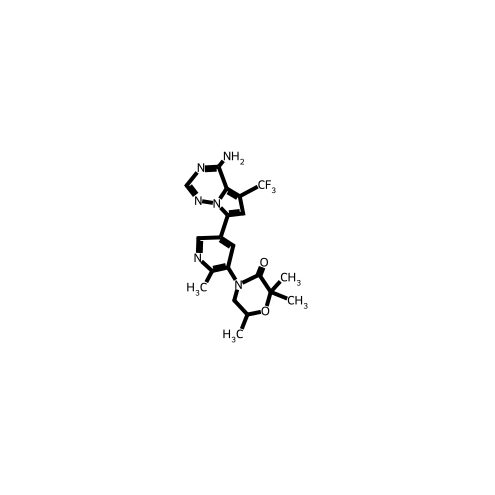 Cc1ncc(-c2cc(C(F)(F)F)c3c(N)ncnn23)cc1N1CC(C)OC(C)(C)C1=O